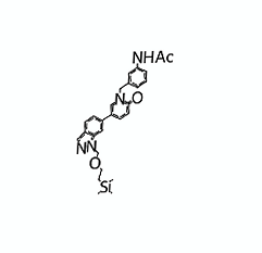 CC(=O)Nc1cccc(Cn2cc(-c3ccc4cnn(COCC[Si](C)(C)C)c4c3)ccc2=O)c1